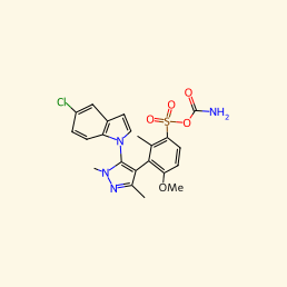 COc1ccc(S(=O)(=O)OC(N)=O)c(C)c1-c1c(C)nn(C)c1-n1ccc2cc(Cl)ccc21